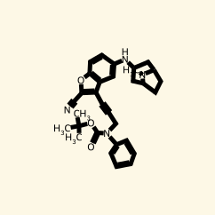 CN1C2CCC1CC(Nc1ccc3oc(C#N)c(C#CCN(C(=O)OC(C)(C)C)c4ccccc4)c3c1)C2